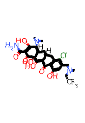 CN(Cc1cc(O)c2c(c1Cl)C[C@H]1C[C@H]3[C@H](N(C)C)C(O)=C(C(N)=O)C(=O)[C@@]3(O)C(O)=C1C2=O)CC(F)(F)F